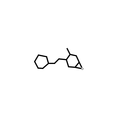 CC1CC2OC2CC1CCC1CCCCC1